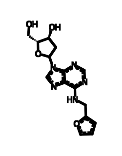 OC[C@H]1OC(n2cnc3c(NCc4ccco4)ncnc32)C[C@@H]1O